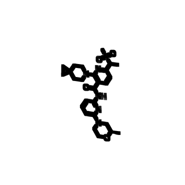 CC(c1ccc(C(=O)Nc2cccc(N3CCO[C@H](C)C3)n2)c(N2CCC3(CC2)CC3)n1)S(C)(=O)=O